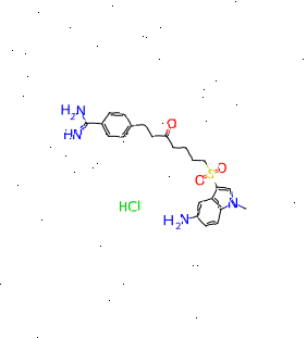 Cl.Cn1cc(S(=O)(=O)CCCCC(=O)CCc2ccc(C(=N)N)cc2)c2cc(N)ccc21